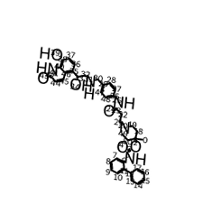 CC1(OC(=O)Nc2ccccc2-c2ccccc2)CCN(CCC(=O)Nc2ccc(CNCC(O)c3ccc(O)c4[nH]c(=O)ccc34)cc2)CC1